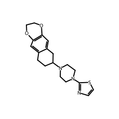 c1csc(N2CCN(C3CCc4cc5c(cc4C3)OCCO5)CC2)n1